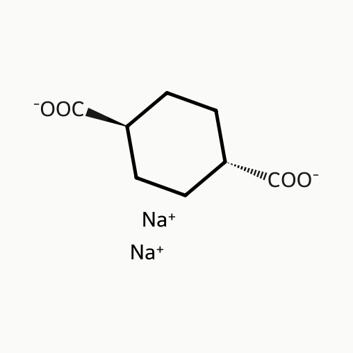 O=C([O-])[C@H]1CC[C@H](C(=O)[O-])CC1.[Na+].[Na+]